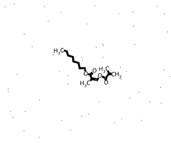 C=C(C)C(=O)OC=C(C)C(=O)OCCCCCCCC